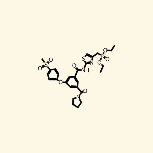 CCOP(=O)(Cc1csc(NC(=O)c2cc(Oc3ccc(S(C)(=O)=O)cc3)cc(C(=O)N3CCCC3)c2)n1)OCC